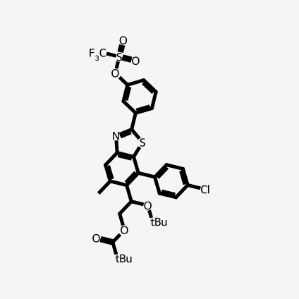 Cc1cc2nc(-c3cccc(OS(=O)(=O)C(F)(F)F)c3)sc2c(-c2ccc(Cl)cc2)c1C(COC(=O)C(C)(C)C)OC(C)(C)C